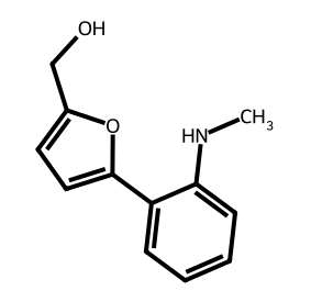 CNc1ccccc1-c1ccc(CO)o1